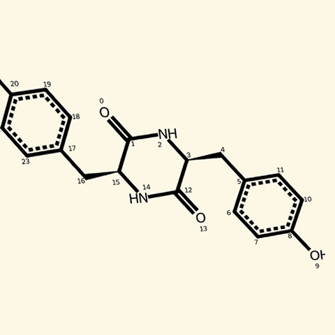 O=C1N[C@@H](Cc2ccc(O)cc2)C(=O)N[C@H]1Cc1ccc(O)cc1